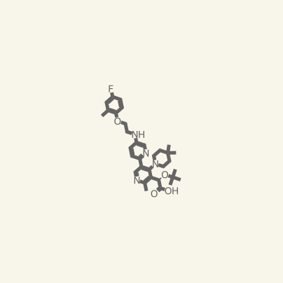 Cc1cc(F)ccc1OCCNc1ccc(-c2cnc(C)c([C@H](OC(C)(C)C)C(=O)O)c2N2CCC(C)(C)CC2)nc1